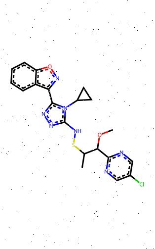 COC(c1ncc(Cl)cn1)C(C)SNc1nnc(-c2noc3ccccc23)n1C1CC1